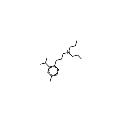 CCCN(CCC)CCCc1ccc(C)cc1C(C)C